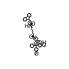 COc1ccc(C(OCC2(CO)CCN(C(=O)CCCCCNC(=O)OCC3c4ccccc4-c4ccccc43)CC2)(c2ccccc2)c2ccc(OC)cc2)cc1